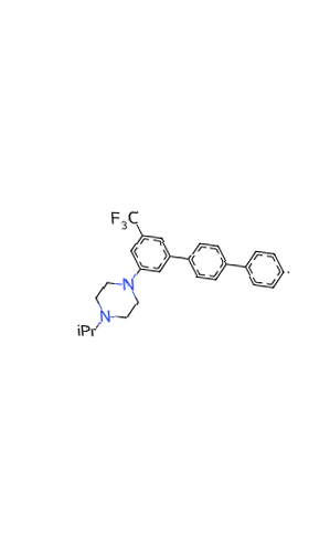 CC(C)N1CCN(c2cc(-c3ccc(-c4cc[c]cc4)cc3)cc(C(F)(F)F)c2)CC1